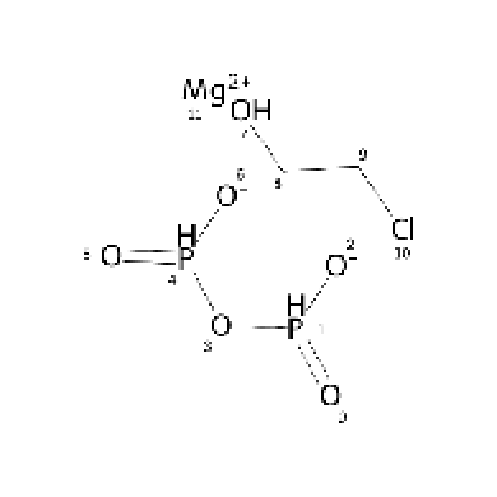 O=[PH]([O-])O[PH](=O)[O-].OCCCl.[Mg+2]